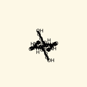 O=S(=O)(NCCCOCCCOCCO)c1cc(Nc2nc(Nc3ccccc3)nc(N3CCOCC3)n2)ccc1/C=C/c1ccc(Nc2nc(Nc3ccccc3)nc(N3CCOCC3)n2)cc1S(=O)(=O)NCCCOCCOCCO